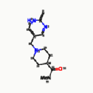 C=C(N)/N=C\C(=C/C)CN1CCC(C(=O)NC)CC1